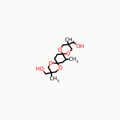 CC1CC2(CCC13OCC(C)(CO)CO3)OCC(C)(CO)CO2